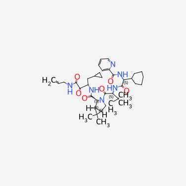 C=CCNC(=O)C(=O)C(CC1CC1)NC(=O)[C@@H]1[C@@H]2[C@H](CN1C(=O)[C@@H](NC(=O)[C@@H](NC(=O)c1ccccn1)C1CCCCC1)C(C)(C)C)C2(C)C